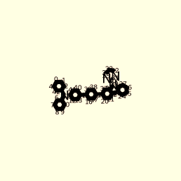 c1ccc(N(c2ccccc2)c2ccc(-c3ccc(-c4ccc5c6ccccc6n(-c6ncccn6)c5c4)cc3)cc2)cc1